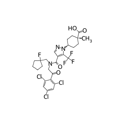 C[C@]1(C(=O)O)CC[C@H](n2ncc(C(=O)N(CC(=O)c3c(Cl)cc(Cl)cc3Cl)CC3(F)CCCC3)c2C(F)(F)F)CC1